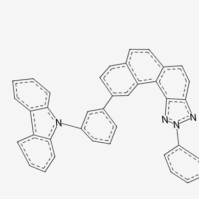 c1ccc(-n2nc3ccc4ccc5ccc(-c6cccc(-n7c8ccccc8c8ccccc87)c6)cc5c4c3n2)cc1